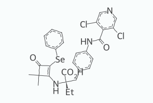 CC[C@@](Cc1ccc(NC(=O)c2c(Cl)cncc2Cl)cc1)(NC1=C([Se]c2ccccc2)C(=O)C1(C)C)C(=O)O